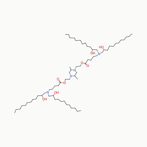 CCCCCCCCCCC(O)CN(CCCCC(=O)OCCN1CC(C)N(CCOC(=O)CCCCN(CC(O)CCCCCCCCCC)CC(O)CCCCCCCCCC)CC1C)CC(O)CCCCCCCCCC